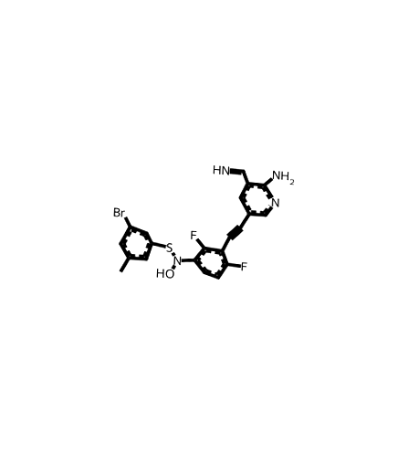 Cc1cc(Br)cc(SN(O)c2ccc(F)c(C#Cc3cnc(N)c(C=N)c3)c2F)c1